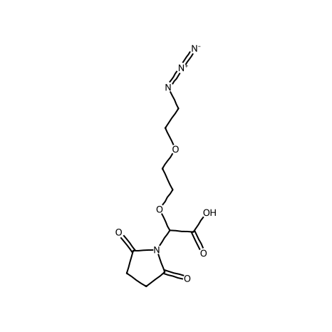 [N-]=[N+]=NCCOCCOC(C(=O)O)N1C(=O)CCC1=O